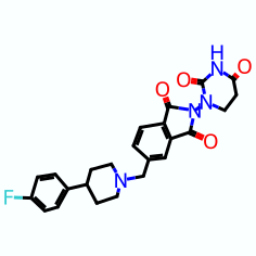 O=C1CCN(N2C(=O)c3ccc(CN4CCC(c5ccc(F)cc5)CC4)cc3C2=O)C(=O)N1